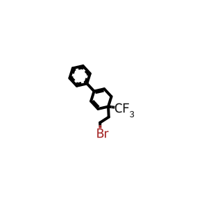 FC(F)(F)C1(CCBr)C=CC(c2ccccc2)=CC1